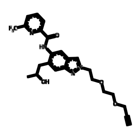 C#CCOCCOCCn1cc2cc(NC(=O)c3cccc(C(F)(F)F)n3)c(CC(C)O)cc2n1